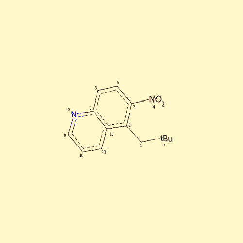 CC(C)(C)Cc1c([N+](=O)[O-])ccc2ncccc12